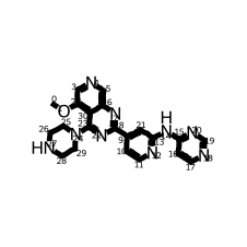 COc1cncc2nc(-c3ccnc(Nc4ccncn4)c3)nc(N3CCNCC3)c12